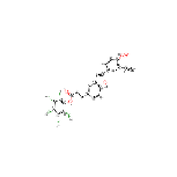 COc1cc(-c2cc3cc(CCC(=O)Oc4c(F)c(F)c(F)c(F)c4F)ccc3o2)ccc1O